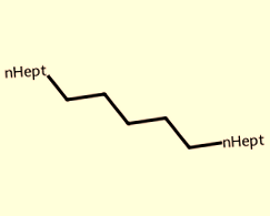 [CH2]CCCCCCCCCCCCCCCCC[CH2]